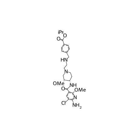 COc1nc(N)c(Cl)cc1C(=O)N[C@H]1CCN(CCNCc2ccc(C(=O)OC(C)C)cc2)C[C@H]1OC